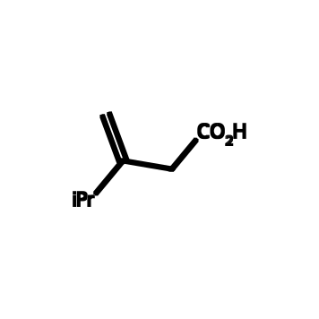 C=C(CC(=O)O)C(C)C